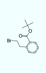 CC(C)(C)OC(=O)c1ccccc1CCBr